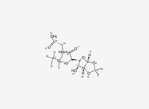 CC1(C)O[C@H]2O[C@H](C(O[Si](C)(C)C(C)(C)C)C(=O)NCC(=O)O)[C@H](O)[C@H]2O1